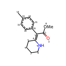 COC(=O)C(=C1CCCCN1)c1ccc(C)cc1